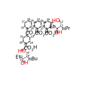 CCCC(CO)C(O)CC.CCCCC(CO)C(O)CC.O=C(O)c1ccccc1.O=C(O)c1ccccc1.O=C(O)c1ccccc1.O=C(O)c1ccccc1